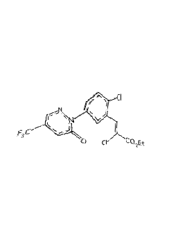 CCOC(=O)C(Cl)=Cc1cc(-n2ncc(C(F)(F)F)cc2=O)ccc1Cl